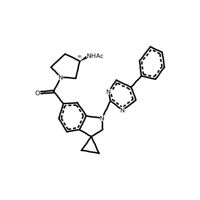 CC(=O)N[C@@H]1CCN(C(=O)c2ccc3c(c2)N(c2ncc(-c4ccccc4)cn2)CC32CC2)C1